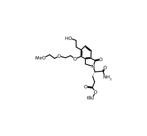 COCCOCCOc1c(CCO)ccc2c1CN([C@@H](CCC(=O)OC(C)(C)C)C(N)=O)C2=O